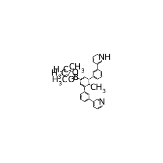 CC1C(c2cccc(-c3cccnc3)c2)=CC(B2OC(C)(C)C(C)(C)O2)=CC1c1cccc(C2=CNCC=C2)c1